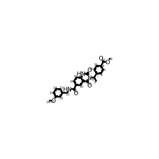 COC(=O)c1ccc(C(C)n2c(=O)[nH]c3ccc(C(=O)NCc4cccc(OC)c4)cc3c2=O)cc1